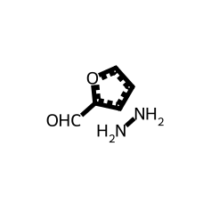 NN.O=Cc1ccco1